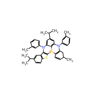 Cc1cccc(N2C3=C(C=CC(C)C3)P3(=S)c4sc5ccc(C(C)C)cc5c4N(c4cccc(C)c4)c4cc(C(C)C)cc2c43)c1